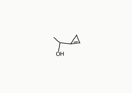 CC(O)C1=CC1